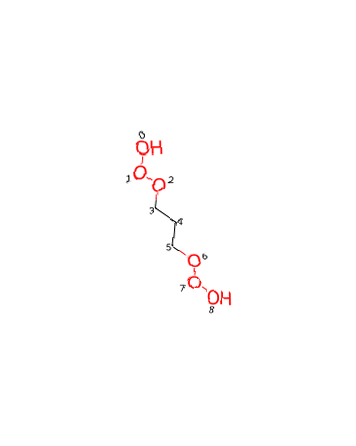 OOOCCCOOO